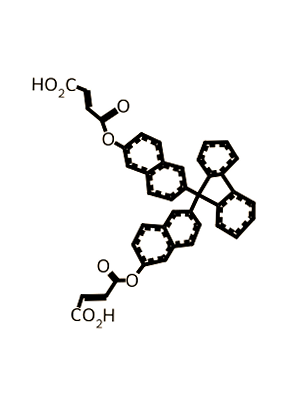 O=C(O)C=CC(=O)Oc1ccc2cc(C3(c4ccc5cc(OC(=O)C=CC(=O)O)ccc5c4)c4ccccc4-c4ccccc43)ccc2c1